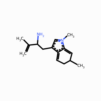 C=C(C)C(N)Cc1cn(C)c2c1=CCC(C)C=2